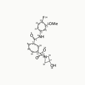 COc1cc(NC(=O)c2cccc(S(=O)(=O)N3CC(O)C3)c2)ccc1F